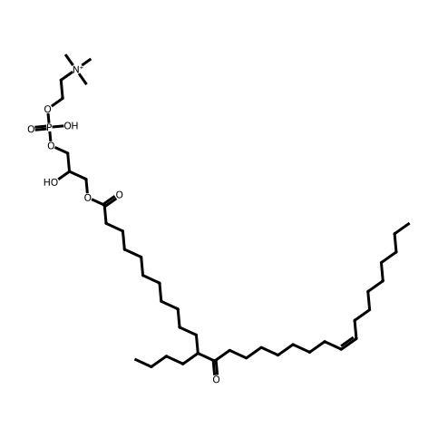 CCCCCCCC/C=C\CCCCCCCC(=O)C(CCCC)CCCCCCCCCCC(=O)OCC(O)COP(=O)(O)OCC[N+](C)(C)C